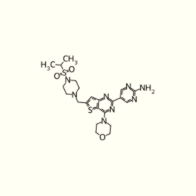 CC(C)S(=O)(=O)N1CCN(Cc2cc3nc(-c4cnc(N)nc4)nc(N4CCOCC4)c3s2)CC1